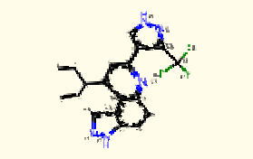 C=CC(CC)c1cc(-c2c[nH]nc2C(F)(F)F)nc2ccc3[nH]ncc3c12